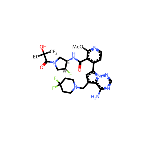 CCC(O)(C(=O)N1C[C@H](F)[C@H](NC(=O)c2c(-c3cc(CN4CCC(F)(F)CC4)c4c(N)ncnn34)ccnc2OC)C1)C(F)(F)F